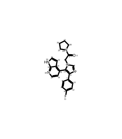 O=C(Cn1cnc(-c2ccc(F)cc2)c1-c1ccnc2[nH]ccc12)N1CCCC1